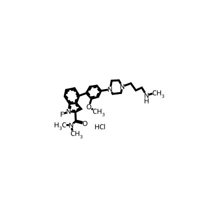 CNCCCN1CCN(c2ccc(-c3cccc4c3cc(C(=O)N(C)C)n4F)c(OC)c2)CC1.Cl